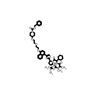 CC(C(=O)NC(C(=O)N1CCCC1c1nc(-c2ccc(OCCOCCOC3CCN(C(=O)OCc4ccccc4)CC3)c3ccccc23)cs1)C1CCCCC1)N(C)C(=O)OC(C)(C)C